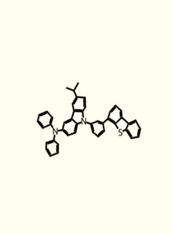 CC(C)c1ccc2c(c1)c1cc(N(c3ccccc3)c3ccccc3)ccc1n2-c1cccc(-c2cccc3c2sc2ccccc23)c1